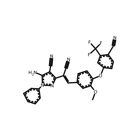 COc1cc(/C=C(\C#N)c2nn(-c3ccccc3)c(N)c2C#N)ccc1Oc1ccc(C#N)c(C(F)(F)F)c1